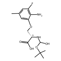 Cc1cc(F)c(N)c(OC[C@H](NC(O)OC(C)(C)C)C(=O)O)c1